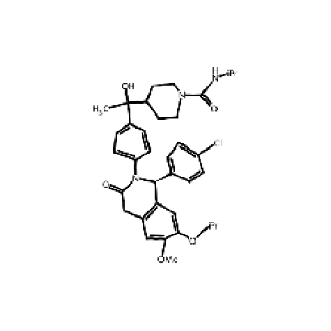 COc1cc2c(cc1OC(C)C)[C@H](c1ccc(Cl)cc1)N(c1ccc(C(C)(O)C3CCN(C(=O)NC(C)C)CC3)cc1)C(=O)C2